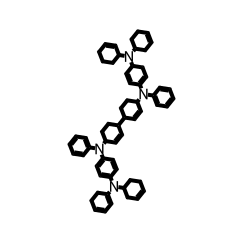 C1=CCCC(N(c2ccc(N(c3ccccc3)C3C=CC(C4C=CC(N(C5=CCC(N(C6C=CCCC6)C6CC=CCC6)C=C5)c5ccccc5)CC4)CC3)cc2)C2CC=CCC2)=C1